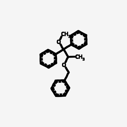 COC(c1ccccc1)(c1ccccc1)C(C)OCc1ccccc1